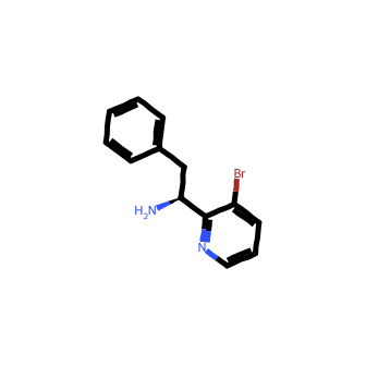 N[C@@H](Cc1ccccc1)c1ncccc1Br